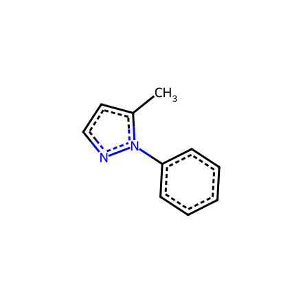 Cc1ccnn1-c1ccccc1